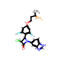 CC(P)CCOc1cc(F)c(C2C(Cl)C(=O)N2c2ccc3[nH]cnc3c2)c(F)c1